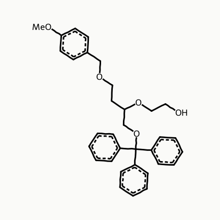 COc1ccc(COCCC(COC(c2ccccc2)(c2ccccc2)c2ccccc2)OCCO)cc1